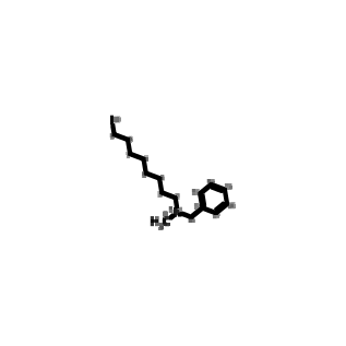 CN(CCCCCCCCI)Cc1ccccc1